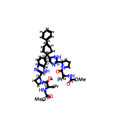 COC(=O)NC(C(=O)N1CCCC1c1ncc(C2(c3ccc4nc(C5CCN5C(=O)C(NC(=O)OC)C(C)C)[nH]c4c3)C=CC(c3ccccc3)=CC2)[nH]1)C(C)C